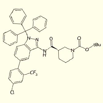 CC(C)(C)OC(=O)N1CCC[C@@H](C(=O)Nc2nn(C(c3ccccc3)(c3ccccc3)c3ccccc3)c3ccc(-c4ccc(Cl)cc4C(F)(F)F)cc23)C1